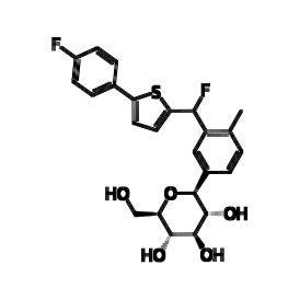 Cc1ccc([C@@H]2O[C@H](CO)[C@@H](O)[C@H](O)[C@H]2O)cc1C(F)c1ccc(-c2ccc(F)cc2)s1